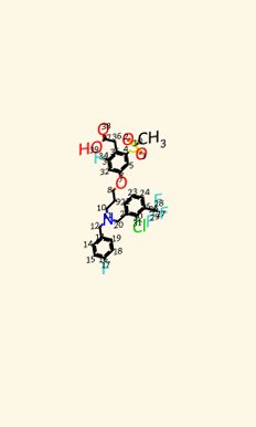 CS(=O)(=O)c1cc(OCCCN(Cc2ccc(F)cc2)Cc2cccc(C(F)(F)F)c2Cl)cc(F)c1CC(=O)O